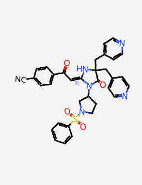 N#Cc1ccc(C(=O)/C=C2\NC(Cc3ccncc3)(Cc3ccncc3)C(=O)N2C2CCN(S(=O)(=O)c3ccccc3)C2)cc1